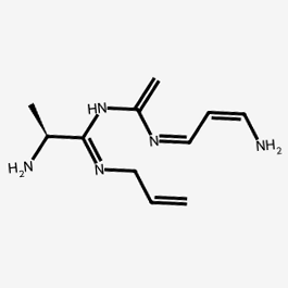 C=CC/N=C(\NC(=C)/N=C\C=C/N)[C@H](C)N